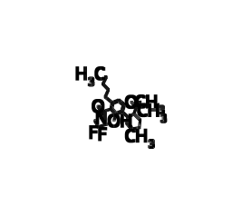 CCCCCc1cc2c(c(O)c1C(=O)N1CC(F)(F)C1)C1C=C(C)CCC1C(C)(C)O2